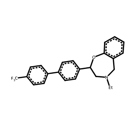 CCN1Cc2ccccc2OC(c2ccc(-c3ccc(C(F)(F)F)cc3)cc2)C1